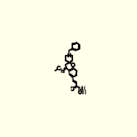 CO/N=C1\CC2(CCN(Cc3ccccc3)CC2)Oc2ccc(/C=C/C(=O)NO)cc21